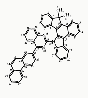 CC1(C)c2ccccc2-c2c1c1ccccc1c1c3ccccc3n(-c3nc(-c4ccc5c(ccc6ccccc65)c4)c4ccccc4n3)c21